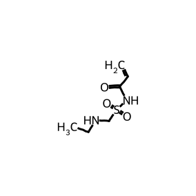 C=CC(=O)NS(=O)(=O)CNCC